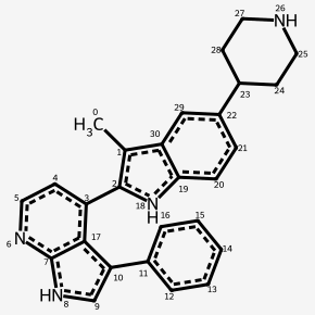 Cc1c(-c2ccnc3[nH]cc(-c4ccccc4)c23)[nH]c2ccc(C3CCNCC3)cc12